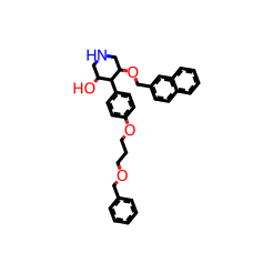 OC1CNCC(OCc2ccc3ccccc3c2)C1c1ccc(OCCCOCc2ccccc2)cc1